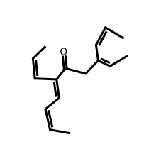 C\C=C/C=C(\C=C/C)C(=O)CC(/C=C\C)=C/C